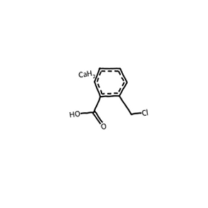 O=C(O)c1ccccc1CCl.[CaH2]